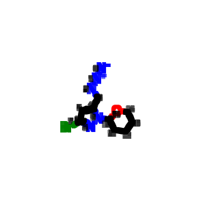 [N-]=[N+]=NCc1cc(Br)nn1C1CCCCO1